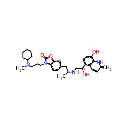 C=C1C=Cc2c([C@@H](O)CNC(C)Cc3ccc4c(c3)oc(=O)n4CCCN(C)C3CC[CH]CC3)ccc(O)c2N1